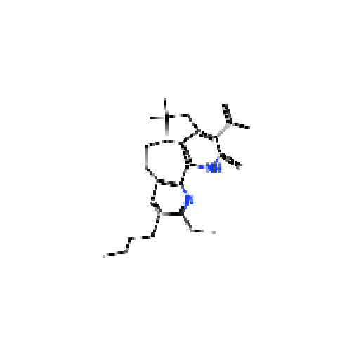 C=C(C)C1=C2CC(C)(C)C3CCc4cc(CCCC)c(CC)nc4C(=C23)NC1=C